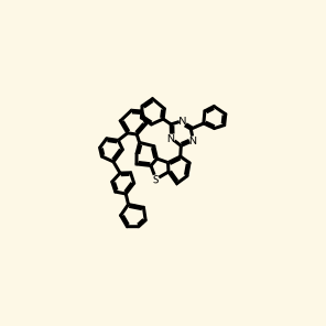 c1ccc(-c2ccc(-c3cccc(-c4ccccc4-c4ccc5sc6cccc(-c7nc(-c8ccccc8)nc(-c8ccccc8)n7)c6c5c4)c3)cc2)cc1